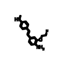 CNc1ccc(C=Cc2ccc(N)c(OCCF)c2)cc1